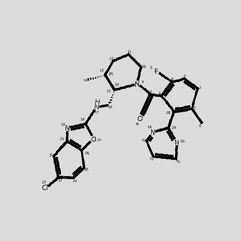 Cc1ccc(F)c(C(=O)N2CCC[C@@H](C)[C@H]2CNc2nc3cc(Cl)ccc3o2)c1-c1ncccn1